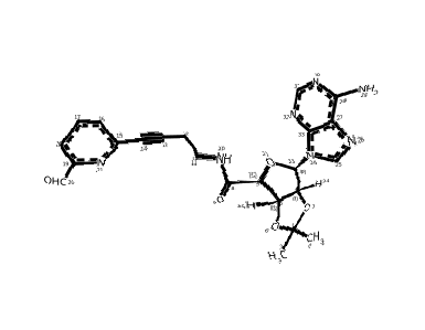 CC1(C)O[C@@H]2[C@H](O1)[C@@H](C(=O)NCCC#Cc1cccc(C=O)n1)O[C@H]2n1cnc2c(N)ncnc21